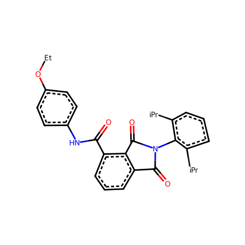 CCOc1ccc(NC(=O)c2cccc3c2C(=O)N(c2c(C(C)C)cccc2C(C)C)C3=O)cc1